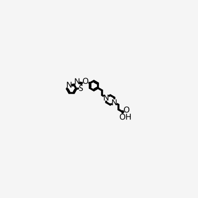 O=C(O)CCN1CCN(CCc2ccc(Oc3nc4ncccc4s3)cc2)CC1